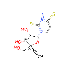 C#C[C@]1(CO)O[C@@H](n2ccc(=S)[nH]c2=S)C(O)[C@H]1O